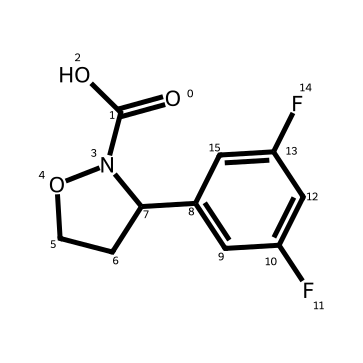 O=C(O)N1OCCC1c1cc(F)cc(F)c1